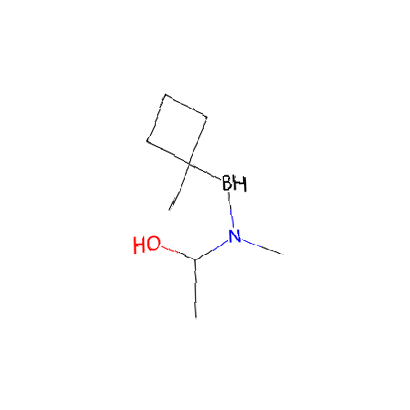 CC(O)N(C)BC1(C)CCC1